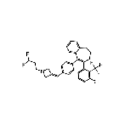 FC(F)CCN1CC(=Cc2ccc(C3=C(c4cccc(Cl)c4C(F)(F)F)CCCc4ccccc43)cc2)C1